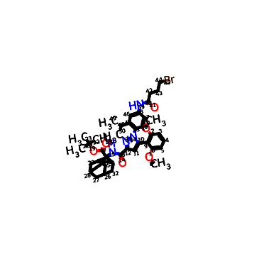 COc1cccc(OC)c1-c1cc(C(=O)NC2(C(=O)OC(C)(C)C)C3CC4CC(C3)CC2C4)nn1-c1ccc(NC(=O)CCCBr)cc1C(C)C